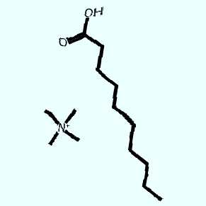 CCCCCCCCCC(=O)O.C[N+](C)(C)C